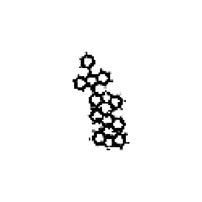 c1ccc(-c2c3ccccc3c(-c3cccc4c3sc3cccc(-c5c6ccccc6c(-c6cccc7oc8ccccc8c67)c6ccccc56)c34)c3ccccc23)cc1